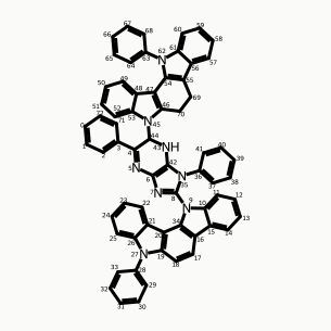 c1ccc(C2=Nc3nc(-n4c5ccccc5c5ccc6c(c7ccccc7n6-c6ccccc6)c54)n(-c4ccccc4)c3NC2n2c3c(c4ccccc42)-c2c(c4ccccc4n2-c2ccccc2)CC3)cc1